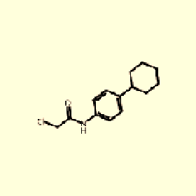 O=C(CCl)Nc1ccc(C2CCCCC2)cc1